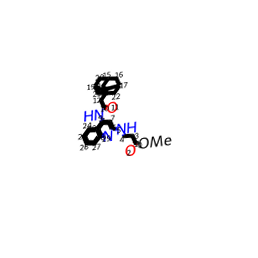 COC(=O)CCNc1cc(NC(=O)CC23CC4CC(CC(C4)C2)C3)c2ccccc2n1